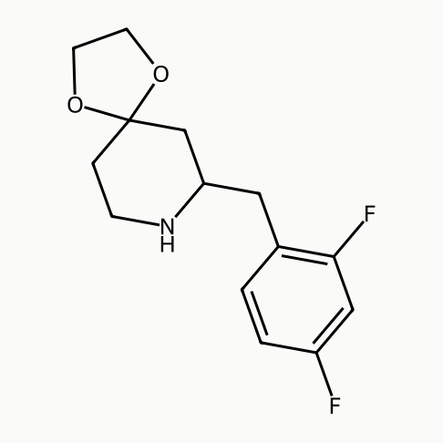 Fc1ccc(CC2CC3(CCN2)OCCO3)c(F)c1